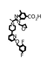 Cc1cc(C(=O)O)cc2c1nc([C@H](C)N1CCC(c3cccc(OCc4cc(F)ccc4F)n3)CC1)n2CC1CCO1